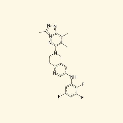 Cc1c(N2CCc3ncc(Nc4cc(F)cc(F)c4F)cc3C2)nn2c(C)nnc2c1C